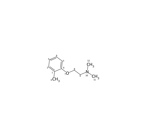 Cc1c[c]ccc1OCCN(C)C